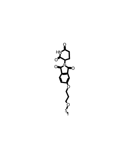 O=C1CCC(N2C(=O)c3ccc(OCCCOSI)cc3C2=O)C(=O)N1